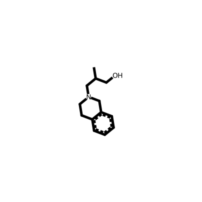 CC(CO)CN1CCc2ccccc2C1